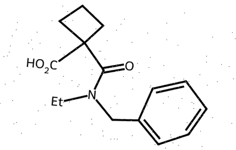 CCN(Cc1ccccc1)C(=O)C1(C(=O)O)CCC1